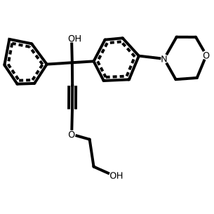 OCCOC#CC(O)(c1ccccc1)c1ccc(N2CCOCC2)cc1